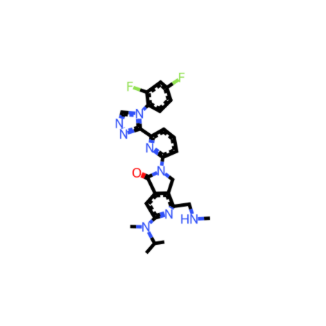 CNCc1nc(N(C)C(C)C)cc2c1CN(c1cccc(-c3nncn3-c3ccc(F)cc3F)n1)C2=O